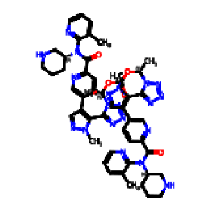 Cc1cccnc1N(C(=O)c1ccc(-c2cnn(C)c2-c2nnnn2[C@H](C)OC(=O)O[C@@H](C)n2nnnc2-c2c(-c3ccc(C(=O)N(c4ncccc4C)[C@@H]4CCCNC4)nc3)cnn2C)cn1)[C@@H]1CCCNC1